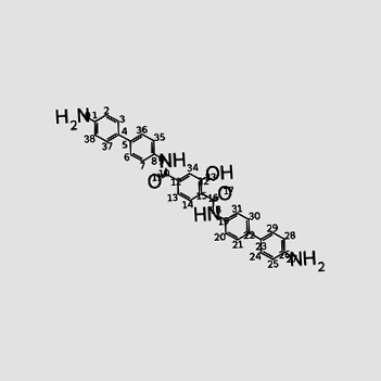 Nc1ccc(-c2ccc(NC(=O)c3ccc(C(=O)Nc4ccc(-c5ccc(N)cc5)cc4)c(O)c3)cc2)cc1